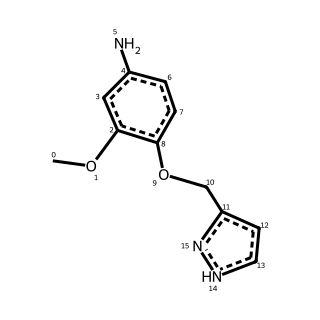 COc1cc(N)ccc1OCc1cc[nH]n1